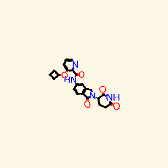 O=C1CC[C@H](N2Cc3cc(NC(=O)c4ncccc4OC4CCC4)ccc3C2=O)C(=O)N1